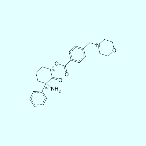 Cc1ccccc1[C@@]1(N)CCC[C@H](OC(=O)c2ccc(CN3CCOCC3)cc2)C1=O